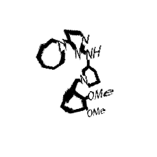 COc1cccc(CN2CCCC(Nc3nccc(N4CCCCCC4)n3)C2)c1OC